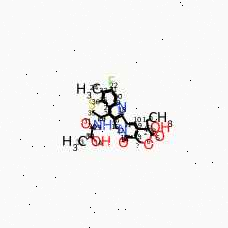 CC[C@@]1(O)C(=O)OCc2c1cc1n(c2=O)Cc2c-1nc1cc(F)c(C)c3c1c2[C@H](NC(=O)[C@@H](C)O)CS3